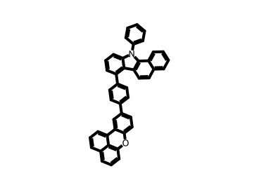 c1ccc(-n2c3cccc(-c4ccc(-c5ccc6c(c5)-c5cccc7cccc(c57)O6)cc4)c3c3ccc4ccccc4c32)cc1